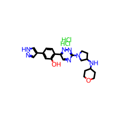 Cl.Cl.Oc1cc(-c2cn[nH]c2)ccc1-c1cnc(N2CCC(NC3CCOCC3)C2)nn1